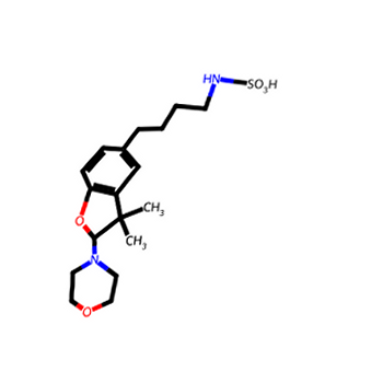 CC1(C)c2cc(CCCCNS(=O)(=O)O)ccc2OC1N1CCOCC1